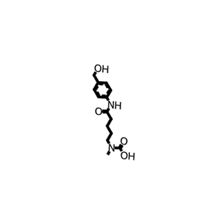 CN(CCCCC(=O)Nc1ccc(CO)cc1)C(=O)O